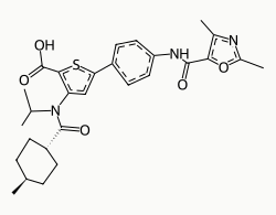 Cc1nc(C)c(C(=O)Nc2ccc(-c3cc(N(C(=O)[C@H]4CC[C@H](C)CC4)C(C)C)c(C(=O)O)s3)cc2)o1